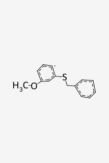 COc1cc[c]c(SCc2ccccc2)c1